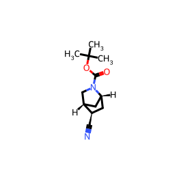 CC(C)(C)OC(=O)N1C[C@@H]2C[C@H]1C[C@H]2C#N